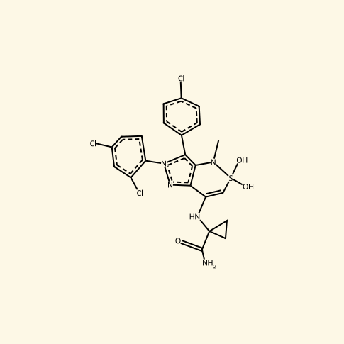 CN1c2c(nn(-c3ccc(Cl)cc3Cl)c2-c2ccc(Cl)cc2)C(NC2(C(N)=O)CC2)=CS1(O)O